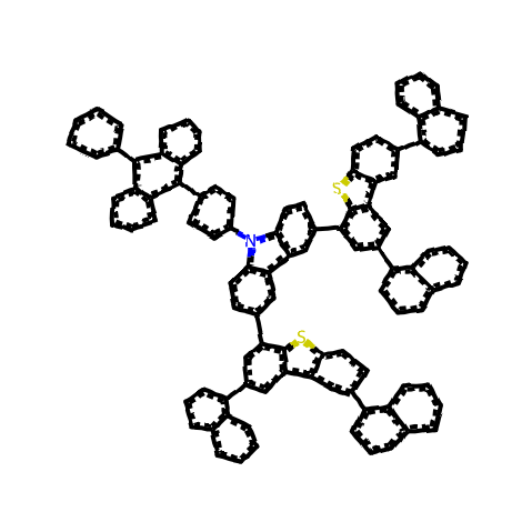 c1ccc(-c2c3ccccc3c(-c3ccc(-n4c5ccc(-c6cc(-c7cccc8ccccc78)cc7c6sc6ccc(-c8cccc9ccccc89)cc67)cc5c5cc(-c6cc(-c7cccc8ccccc78)cc7c6sc6ccc(-c8cccc9ccccc89)cc67)ccc54)cc3)c3ccccc23)cc1